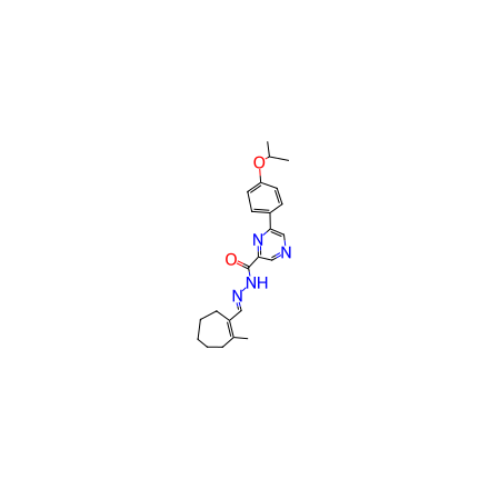 CC1=C(C=NNC(=O)c2cncc(-c3ccc(OC(C)C)cc3)n2)CCCCC1